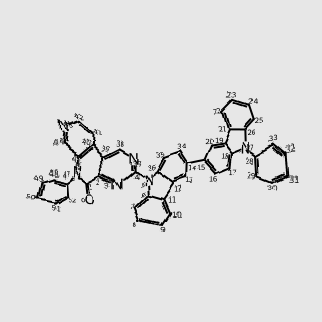 O=c1c2nc(-n3c4ccccc4c4cc(-c5ccc6c(c5)c5ccccc5n6-c5ccccc5)ccc43)ncc2c2ccncc2n1-c1ccccc1